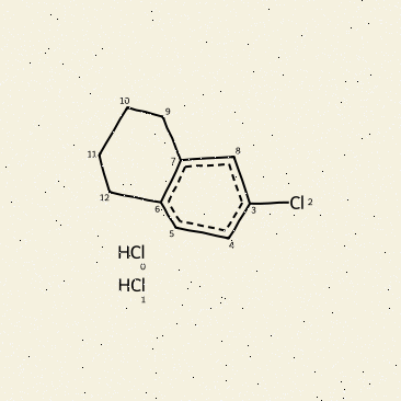 Cl.Cl.Clc1ccc2c(c1)CCCC2